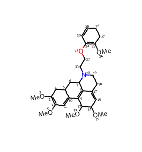 COC1=C(OC)CC2CC3C4=C(C2=C1)C(OC)C(OC)C=C4CCN3CCOC1=C(OC)CCC=C1